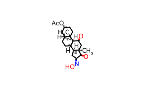 CC(=O)O[C@@H]1CC[C@@]2(C)[C@H](CC[C@@H]3[C@@H]2C(=O)C[C@]2(C)C(=O)C(=NO)C[C@@H]32)C1